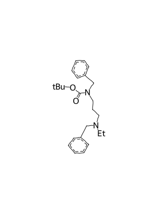 CCN(CCCN(Cc1ccccc1)C(=O)OC(C)(C)C)Cc1ccccc1